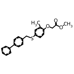 COC(=O)COc1ccc(SCc2ccc(-c3ccccc3)cc2)cc1C